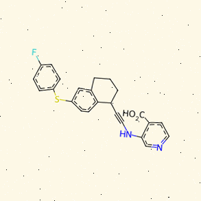 O=C(O)c1ccncc1NC#CC1CCCc2cc(Sc3ccc(F)cc3)ccc21